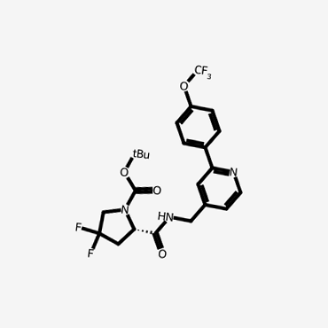 CC(C)(C)OC(=O)N1CC(F)(F)C[C@H]1C(=O)NCc1ccnc(-c2ccc(OC(F)(F)F)cc2)c1